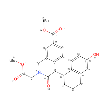 CC(C)(C)OC(=O)CN(Cc1cccc(C(=O)OC(C)(C)C)c1)C(=O)CC1CCCc2cc(O)ccc21